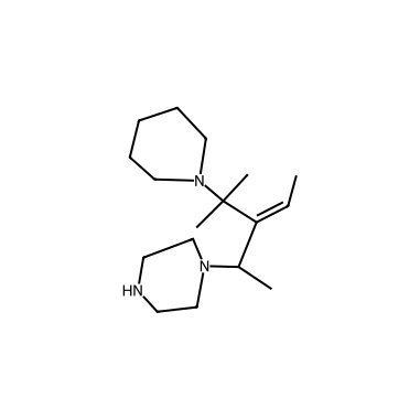 CC=C(C(C)N1CCNCC1)C(C)(C)N1CCCCC1